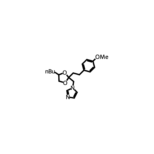 CCCCC1COC(CCc2ccc(OC)cc2)(Cn2ccnc2)O1